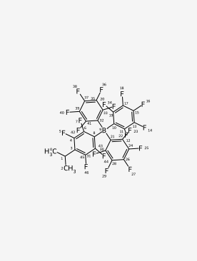 CC(C)c1c(F)c(F)c([B-](c2c(F)c(F)c(F)c(F)c2F)(c2c(F)c(F)c(F)c(F)c2F)c2c(F)c(F)c(F)c(F)c2F)c(F)c1F